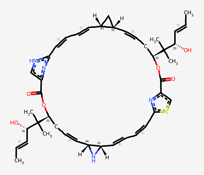 C/C=C/[C@H](O)C(C)(C)[C@@H]1C/C=C\[C@H]2N[C@H]2/C=C/C=C\c2nc(cs2)C(=O)O[C@H](C(C)(C)[C@@H](O)/C=C/C)C/C=C\[C@H]2C[C@H]2/C=C/C=C\c2nc(c[nH]2)C(=O)O1